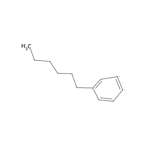 CCCCCCc1c[c][c]cc1